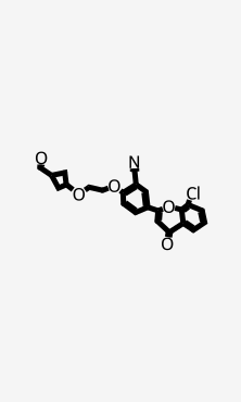 N#Cc1cc(-c2cc(=O)c3cccc(Cl)c3o2)ccc1OCCOC1CC(C=O)C1